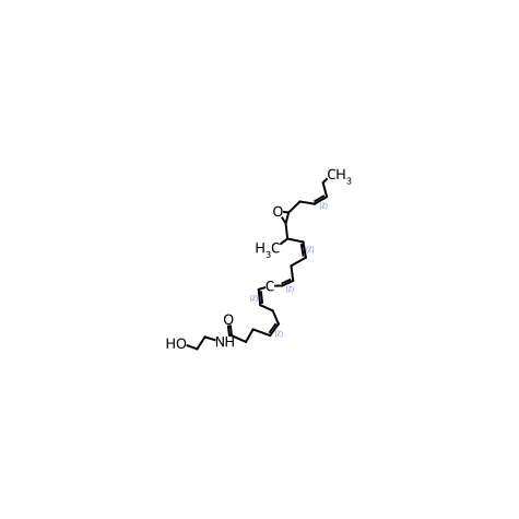 CC/C=C\CC1OC1C(C)/C=C\C/C=C\C/C=C\C/C=C\CCC(=O)NCCO